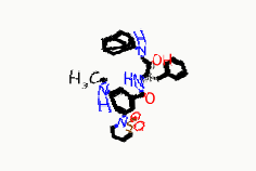 CCNc1cc(C(=O)N[C@@H](Cc2ccccc2)[C@H](O)CNC2C3CC4CC(C3)CC2C4)cc(N2CCCCS2(=O)=O)c1